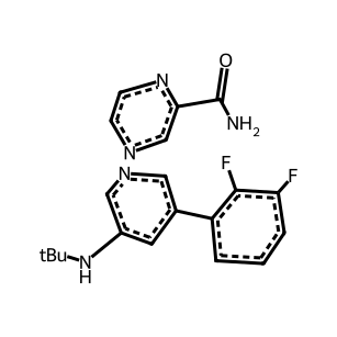 CC(C)(C)Nc1cncc(-c2cccc(F)c2F)c1.NC(=O)c1cnccn1